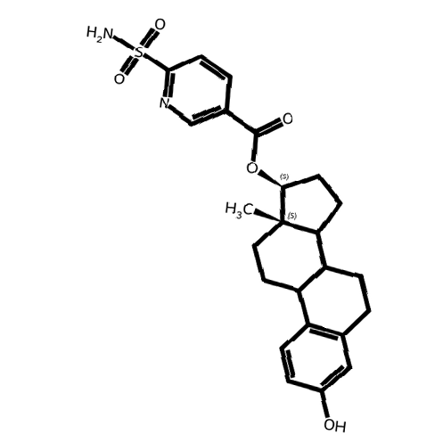 C[C@]12CCC3c4ccc(O)cc4CCC3C1CC[C@@H]2OC(=O)c1ccc(S(N)(=O)=O)nc1